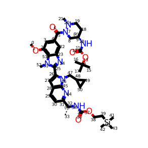 COc1cc(C(=O)N2C[C@H](NC(=O)OC(C)(C)C)CCN2C)cc2nc(-c3cc4ccc([C@@H](C)NC(=O)OCC[Si](C)(C)C)nc4n3CC3CC3)n(C)c12